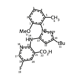 COc1cccc(C)c1-n1nc(C(C)(C)C)cc1Nc1ncc(F)cc1C(=O)O